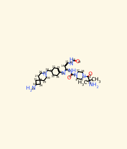 CC(C)(N)C(=O)N1CCN(C(=O)NC(/C=C\NC=O)=N/C2=CCC(CN3CCC4(CC3)CC(N)C4)CC2)CC1